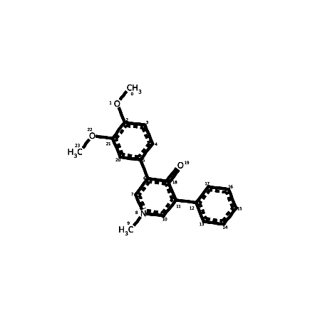 COc1ccc(-c2cn(C)cc(-c3ccccc3)c2=O)cc1OC